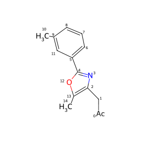 CC(=O)Cc1nc(-c2cccc(C)c2)oc1C